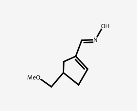 COCC1CC=C(C=NO)C1